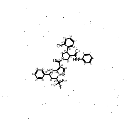 O=C(Nc1ccccc1)C1CN(C(=O)c2cnn3c2NC(c2ccccc2)CC3C(F)(F)F)CC1c1ccccc1Cl